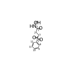 O=C(CCS(=O)(=O)c1ccccc1)NO